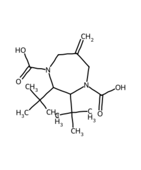 C=C1CN(C(=O)O)C(C(C)(C)C)C(C(C)(C)C)N(C(=O)O)C1